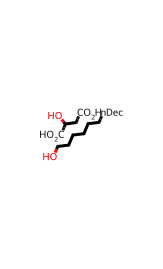 CCCCCCCCCCCCCCCCO.O=C(O)CC(O)C(=O)O